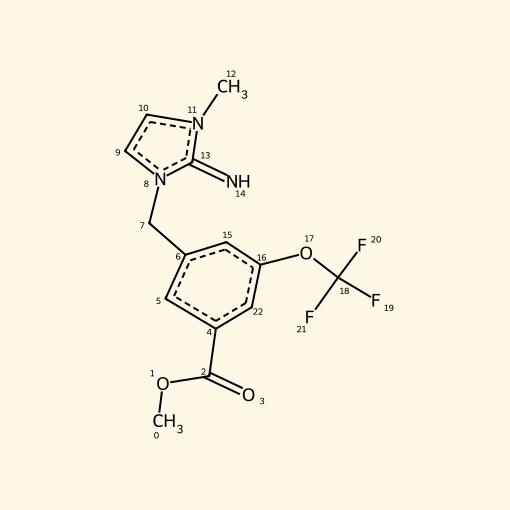 COC(=O)c1cc(Cn2ccn(C)c2=N)cc(OC(F)(F)F)c1